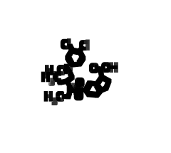 CCC(CN(C)c1ccc(Cl)c(Cl)c1)N(CC)S(=O)(=O)c1ccc2c(c1)C(C(=O)O)CC2